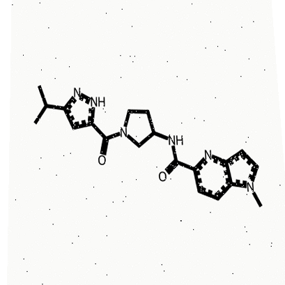 CC(C)c1cc(C(=O)N2CCC(NC(=O)c3ccc4c(ccn4C)n3)C2)[nH]n1